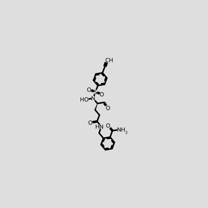 C#Cc1ccc(S(=O)(=O)N(O)[C@@H]([C]=O)CCC(=O)NCc2ccccc2C(N)=O)cc1